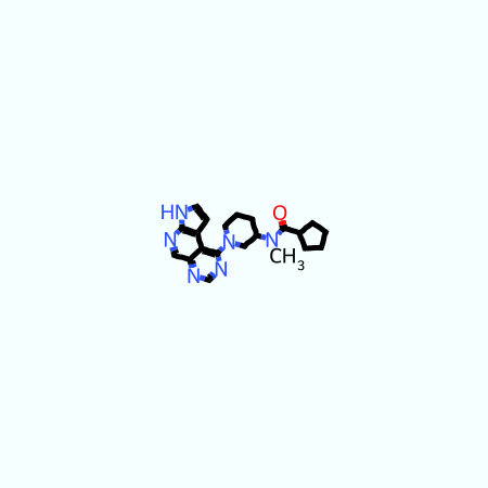 CN(C(=O)C1CCCC1)C1CCCN(c2ncnc3cnc4[nH]ccc4c23)C1